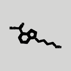 COCCCCn1ccc2c(C(=O)OC)cccc21